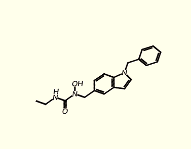 CCNC(=O)N(O)Cc1ccc2c(ccn2Cc2ccccc2)c1